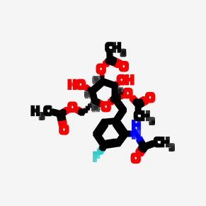 CC(=O)Nc1cc(F)ccc1CC1(OC(C)=O)O[C@H](COC(C)=O)[C@@H](O)[C@H](OC(C)=O)[C@H]1O